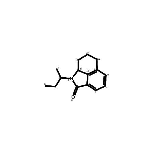 CCC(C)N1C(=O)c2cccc3c2C1CCC3